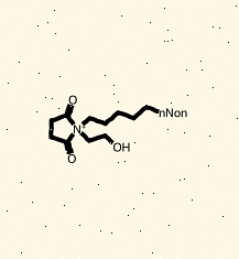 CCCCCCCCCCCCCC[N+]1(CCO)C(=O)CCC1=O